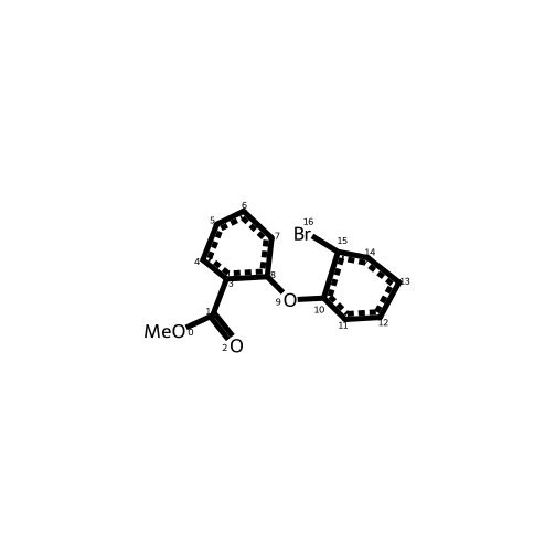 COC(=O)c1ccccc1Oc1ccccc1Br